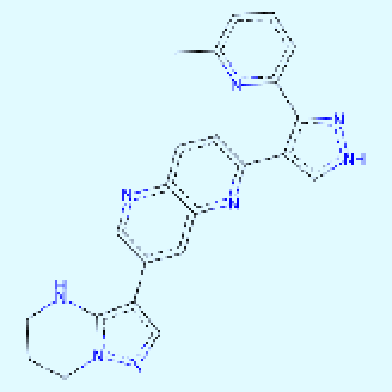 Cc1cccc(-c2n[nH]cc2-c2ccc3ncc(-c4cnn5c4NCCC5)cc3n2)n1